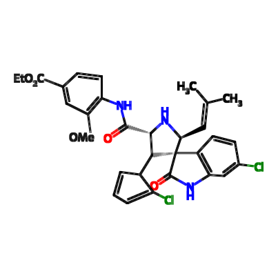 CCOC(=O)c1ccc(NC(=O)[C@@H]2N[C@@H](C=C(C)C)[C@@]3(C(=O)Nc4cc(Cl)ccc43)C2C2C=CC=C2Cl)c(OC)c1